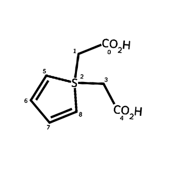 O=C(O)CS1(CC(=O)O)C=CC=C1